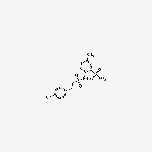 Cc1ccc(NS(=O)(=O)CCc2ccc(Cl)cc2)c(S(N)(=O)=O)c1